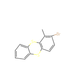 Cc1c(Br)ccc2c1Sc1ccccc1S2